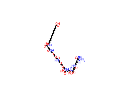 NN[C@@H](CCCCNC(=O)CC[C@H](NC(=O)CC[C@H](NC(=O)COCCOCCNC(=O)COCCOCCNC(=O)CC[C@H](NC(=O)CCCCCCCCCCCCCCC(=O)O)C(=O)O)C(=O)O)C(=O)O)C(N)=O